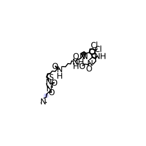 CN(C)C/C=C/C(=O)N1CCN(c2ccc(CCC(=O)NCCCCCNC(=O)Cn3ccc(-c4cc(Cl)c(Cl)c5[nH]c6c(c45)CN(C(=O)CO)CC6)n3)s2)C(=O)C1